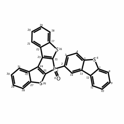 O=P1(c2ccc3sc4ccccc4c3c2)c2sc3ccccc3c2-c2c1sc1ccccc21